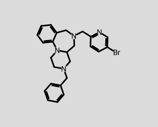 Brc1ccc(CN2Cc3ccccc3N3CCN(Cc4ccccc4)CC3C2)nc1